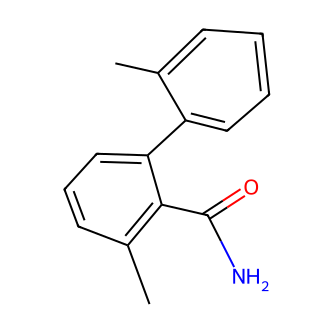 Cc1ccccc1-c1cccc(C)c1C(N)=O